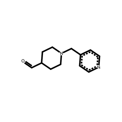 O=CC1CCN(Cc2ccncc2)CC1